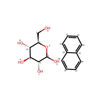 OC[C@H]1OC(O)[C@H](O)[C@@H](O)[C@@H]1O.c1ccc2ccccc2c1